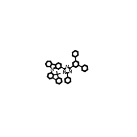 CC1(C)c2ccccc2-c2cccc(-n3c4ccccc4c4ccc(-c5nc(-c6ccccc6)nc(-c6cc(-c7ccccc7)cc(-c7ccccc7)c6)n5)cc43)c21